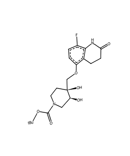 CC(C)(C)OC(=O)N1CC[C@](O)(COc2ccc(F)c3c2CCC(=O)N3)[C@@H](O)C1